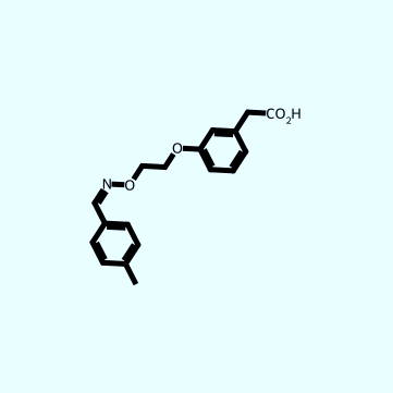 Cc1ccc(/C=N\OCCOc2cccc(CC(=O)O)c2)cc1